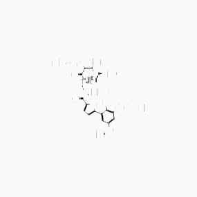 CCCCCC(C(=O)NCNC(=O)c1ccc(-c2cc(OCC)cc(C(=O)O)c2O)o1)C(CC)N(O)C=O